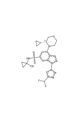 N#CC1(NS(=O)(=O)c2cc(N3CCOC[C@H]3C3CC3)c3cnc(-c4nnc(C(F)F)s4)n3c2)CC1